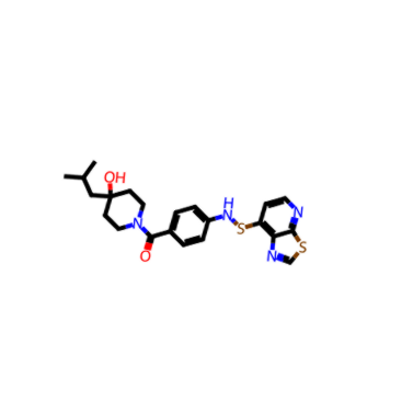 CC(C)CC1(O)CCN(C(=O)c2ccc(NSc3ccnc4scnc34)cc2)CC1